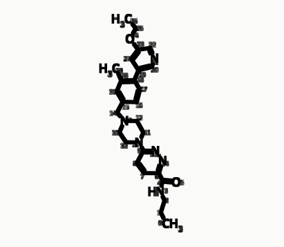 CCCNC(=O)c1ccc(N2CCN(Cc3ccc(-c4cncc(OCC)c4)c(C)c3)CC2)nn1